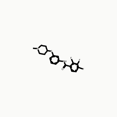 CN1CCC(Sc2cccc(NC(=O)c3ccc(F)c(F)c3F)c2)CC1